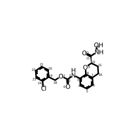 O=C(Nc1cccc2c1O[C@@H](C(=O)NO)CC2)OCc1ccccc1Cl